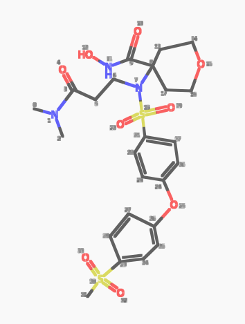 CN(C)C(=O)CCN(C1(C(=O)NO)CCOCC1)S(=O)(=O)c1ccc(Oc2ccc(S(C)(=O)=O)cc2)cc1